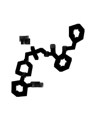 COc1ccccc1N1CCN(CC(C)(C)COC(=O)c2ccccc2OCc2ccccc2)CC1.Cl.Cl